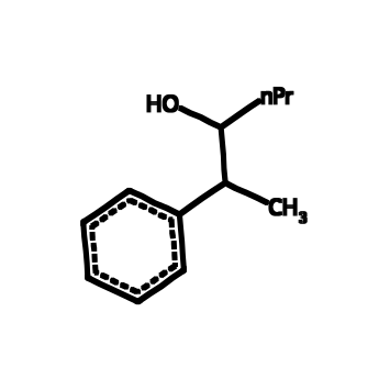 CCCC(O)C(C)c1ccccc1